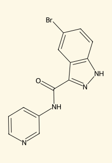 O=C(Nc1cccnc1)c1n[nH]c2ccc(Br)cc12